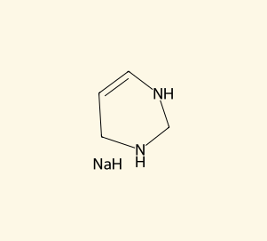 C1=CNCNC1.[NaH]